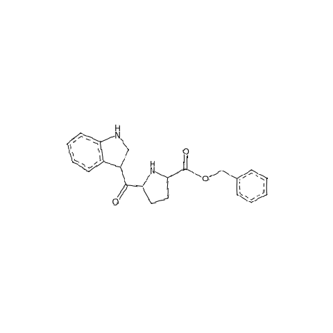 O=C(OCc1ccccc1)C1CCC(C(=O)C2CNc3ccccc32)N1